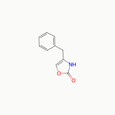 O=c1[nH]c(Cc2ccccc2)co1